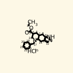 CCOC(=O)C1CC2Cc3[nH]ncc3CC2N(Cc2ccccc2)C1.Cl